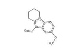 COc1ccc2c(c1)c(C=O)c1n2CCCC1